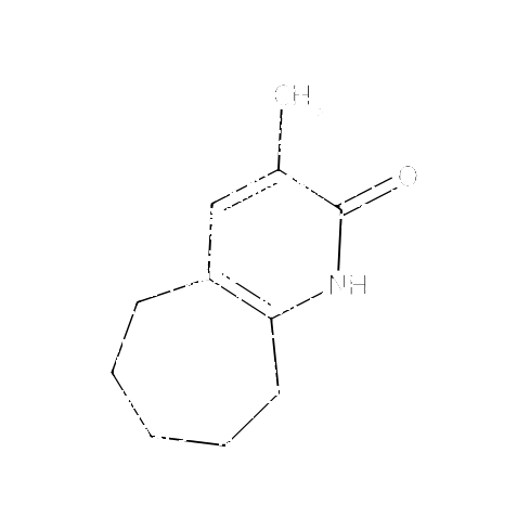 Cc1cc2c([nH]c1=O)CCCCC2